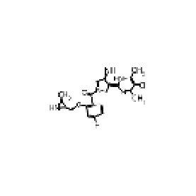 C=C1NC1COc1cc(F)ccc1C(=O)N1CC(=N)/C(=C2/N=C(C)C(Cl)=C(C)N2)C1